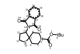 CC(C)(C)OC(=O)N1CCC2(CC1)SCCC2N1C(=O)c2ccccc2C1=O